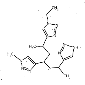 CCn1cc(C(C)CC(CC(C)c2c[nH]nn2)c2cn(C)nn2)nn1